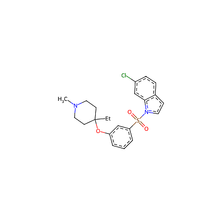 CCC1(Oc2cccc(S(=O)(=O)n3ccc4ccc(Cl)cc43)c2)CCN(C)CC1